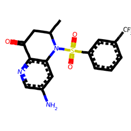 CC1CC(=O)c2ncc(N)cc2N1S(=O)(=O)c1cccc(C(F)(F)F)c1